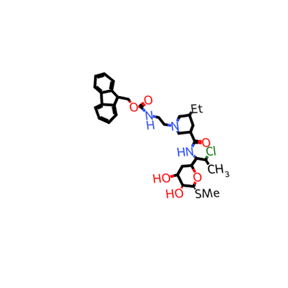 CCC1CC(C(=O)NC(C(C)Cl)C2CC(O)[C@H](O)[C@@H](SC)O2)CN(CCNC(=O)OCC2c3ccccc3-c3ccccc32)C1